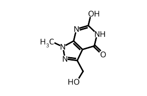 Cn1nc(CO)c2c(=O)[nH]c(O)nc21